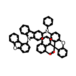 c1ccc(N(c2ccc3c(c2)C2(c4ccccc4O3)c3ccccc3-c3cccc4cccc2c34)c2ccc3c(c2)c2ccccc2n3-c2cccc3oc4ccccc4c23)cc1